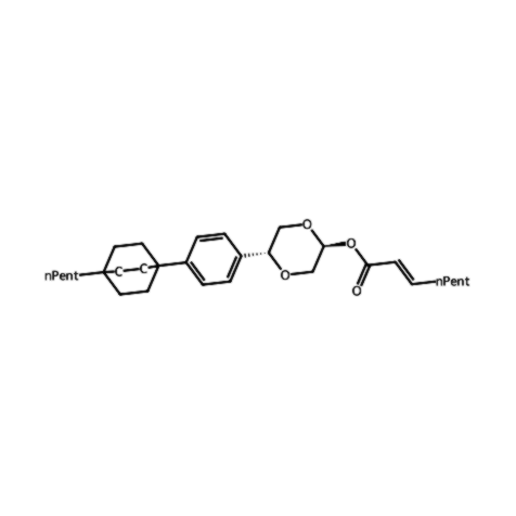 CCCCC/C=C/C(=O)O[C@H]1CO[C@H](c2ccc(C34CCC(CCCCC)(CC3)CC4)cc2)CO1